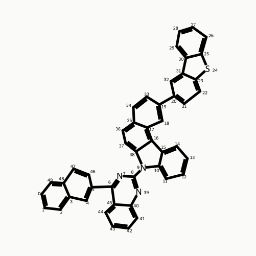 c1ccc2cc(-c3nc(-n4c5ccccc5c5c6cc(-c7ccc8sc9ccccc9c8c7)ccc6ccc54)nc4ccccc34)ccc2c1